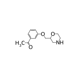 CC(=O)c1cccc(OCC2CNCCO2)c1